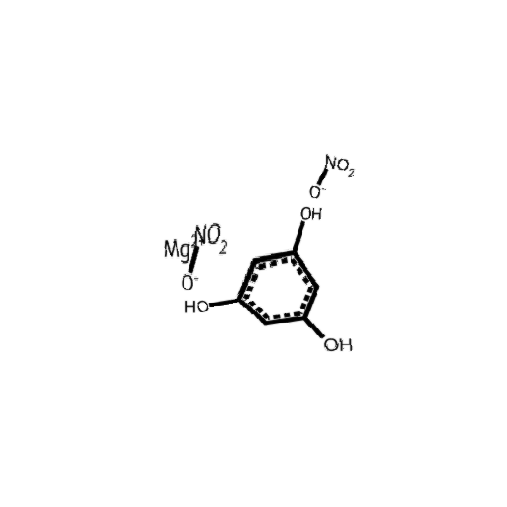 O=[N+]([O-])[O-].O=[N+]([O-])[O-].Oc1cc(O)cc(O)c1.[Mg+2]